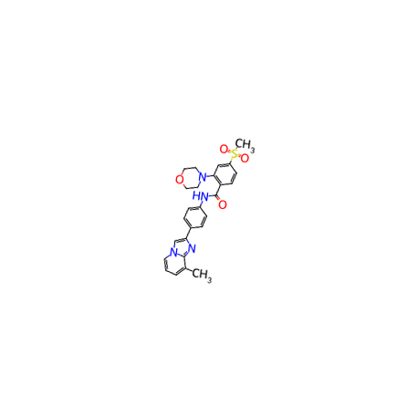 Cc1cccn2cc(-c3ccc(NC(=O)c4ccc(S(C)(=O)=O)cc4N4CCOCC4)cc3)nc12